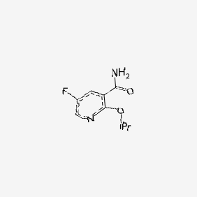 CC(C)Oc1ncc(F)cc1C(N)=O